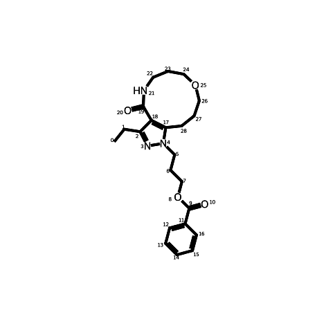 CCc1nn(CCCOC(=O)c2ccccc2)c2c1C(=O)NCCCOCCC2